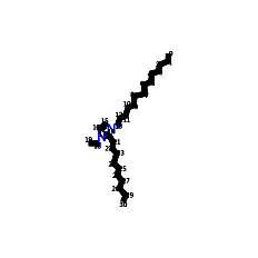 CCCCCCCCCCCCCC[n+]1ccn(CC)c1CCCCCCCCCC